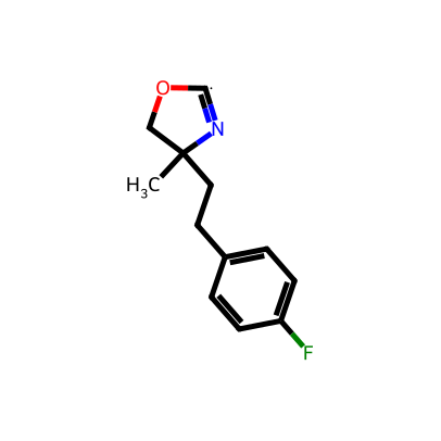 CC1(CCc2ccc(F)cc2)CO[C]=N1